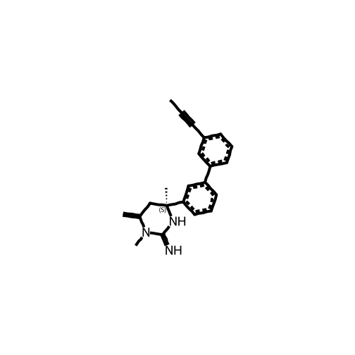 C=C1C[C@@](C)(c2cccc(-c3cccc(C#CC)c3)c2)NC(=N)N1C